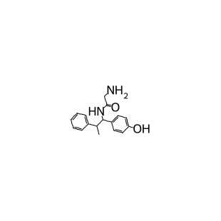 CC(c1ccccc1)C(NC(=O)CN)c1ccc(O)cc1